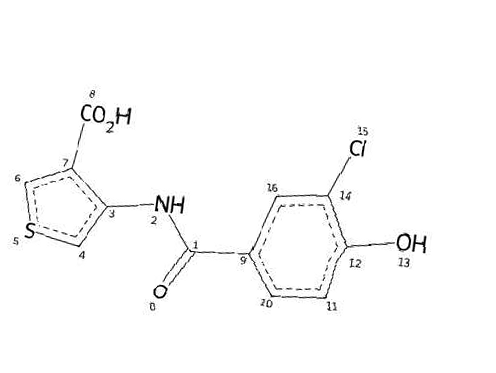 O=C(Nc1cscc1C(=O)O)c1ccc(O)c(Cl)c1